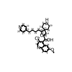 COc1ccc2ncc(Cl)c([C@H](O)CCC3([C@@H](O)CCCCc4ccncc4)CCNCC3)c2c1